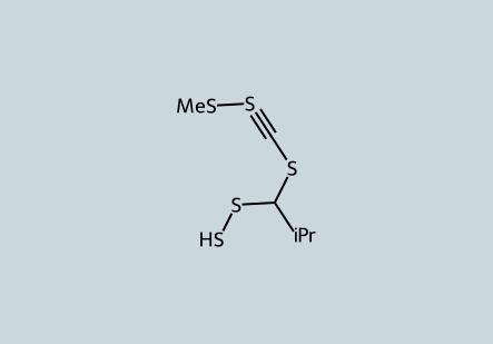 CSS#CSC(SS)C(C)C